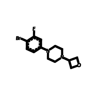 Fc1cc(N2CCN(C3COC3)CC2)ccc1Br